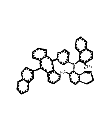 Cc1ccc2c(c1B(c1cccc(-c3c4ccccc4c(-c4ccc5ccccc5c4)c4ccccc34)c1)c1c(C)ccc3ccccc13)C=CCC2